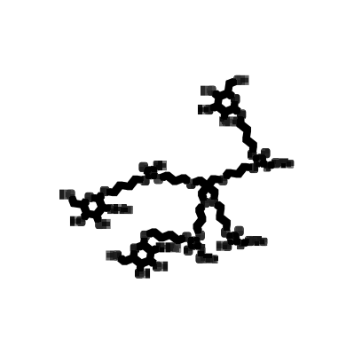 COSP(=O)(O)OCCCOCC(COCCCOP(=O)(S)OCCCCOC1OC(CO)C(O)C(O)C1NC(C)=O)(COCCCOP(=O)(OCCCCOC1OC(CO)C(O)C(O)C1NC(C)=O)SOC)COCCCOP(=O)(OCCCCOC1OC(CO)C(O)C(O)C1NC(C)=O)SOC